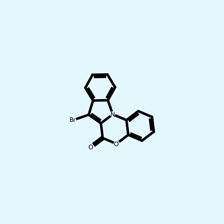 O=c1oc2ccccc2n2c1c(Br)c1ccccc12